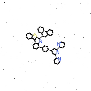 c1ccc(-c2cc(-c3ccc(-c4cccc5c4nc(-c4cc6ccccc6c6ccccc46)c4sc6ccccc6c45)cc3)cc(-c3ccccn3)n2)nc1